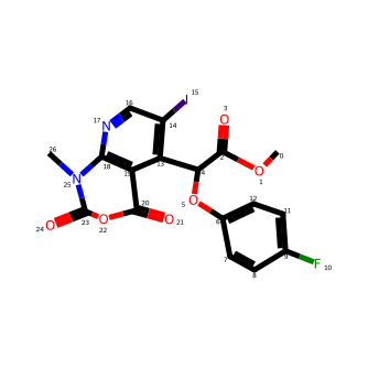 COC(=O)C(Oc1ccc(F)cc1)c1c(I)cnc2c1c(=O)oc(=O)n2C